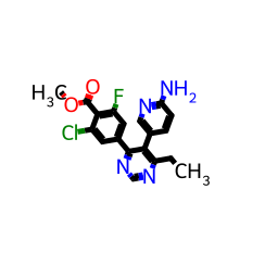 CCc1ncnc(-c2cc(F)c(C(=O)OC)c(Cl)c2)c1-c1ccc(N)nc1